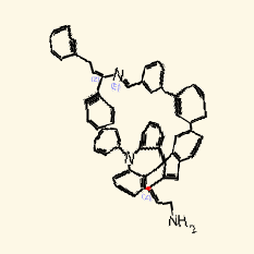 NC/C=C\C1=Cc2ccc(-c3cccc(-c4cccc(/C=N/C(=C\Cc5ccccc5)c5ccccc5)c4)c3)cc2C12c1ccccc1N(c1ccccc1)c1ccccc12